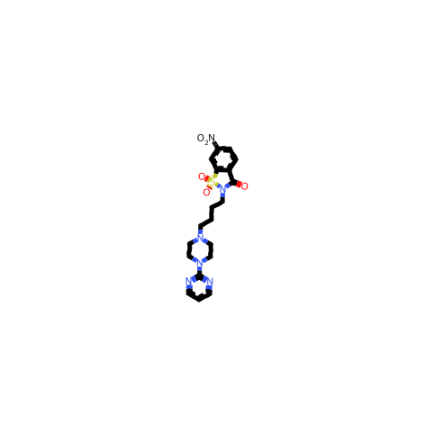 O=C1c2ccc([N+](=O)[O-])cc2S(=O)(=O)N1CCCCN1CCN(c2ncccn2)CC1